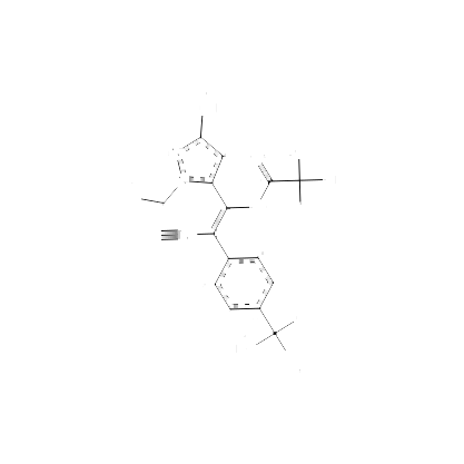 [C-]#[N+]C(=C(OC(=O)C(C)(C)C)c1cc(C)nn1CC)c1ccc(C(C)(C)C)cc1